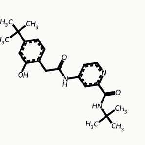 CC(C)(C)NC(=O)c1cc(NC(=O)Cc2ccc(C(C)(C)C)cc2O)ccn1